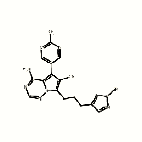 CC(C)n1cc(CCCc2c(C#N)c(-c3cnc(C(F)(F)F)nc3)c3c(N)ncnn23)cn1